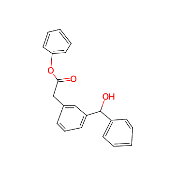 O=C(Cc1cccc(C(O)c2ccccc2)c1)Oc1ccccc1